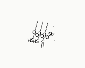 CCCCCCOC(=O)CCS.CCCCCCOC(=O)CCS.CCCCCCOC(=O)CCS.[Sb]